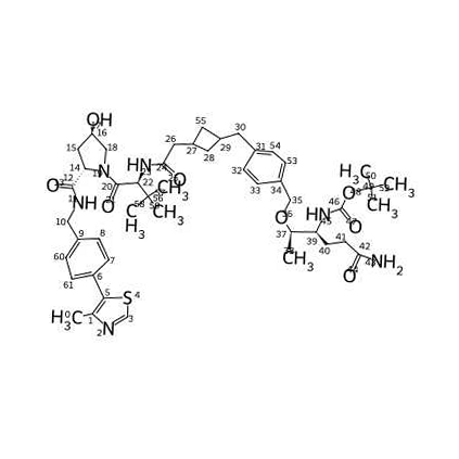 Cc1ncsc1-c1ccc(CNC(=O)[C@@H]2C[C@@H](O)CN2C(=O)[C@@H](NC(=O)CC2CC(Cc3ccc(CO[C@H](C)[C@H](CCC(N)=O)NC(=O)OC(C)(C)C)cc3)C2)C(C)(C)C)cc1